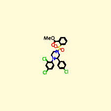 COC(=O)c1ccccc1S(=O)(=O)N1CCN(c2ccc(Cl)cc2Cl)C(c2ccc(Cl)cc2)C1